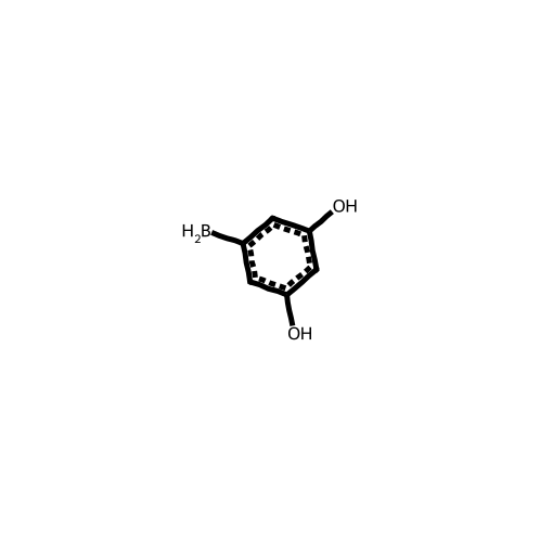 Bc1cc(O)cc(O)c1